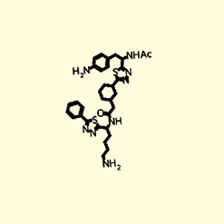 CC(=O)NC(Cc1ccc(N)cc1)c1nnc(C2CCCC(CC(=O)NC(CCCCN)c3nnc(-c4ccccc4)s3)C2)s1